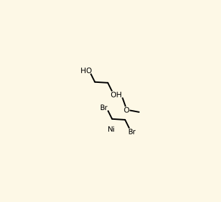 BrCCBr.COC.OCCO.[Ni]